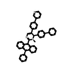 CN1C(c2c3ccccc3c(-c3ccccc3)c3ccccc23)=NC=C(c2ccc(-c3cccnc3)cc2)C1c1ccc(-c2ccccc2)cc1